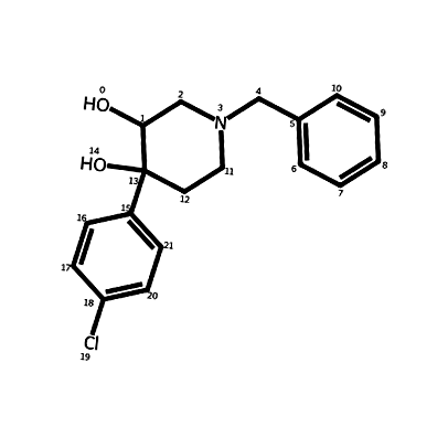 OC1CN(Cc2ccccc2)CCC1(O)c1ccc(Cl)cc1